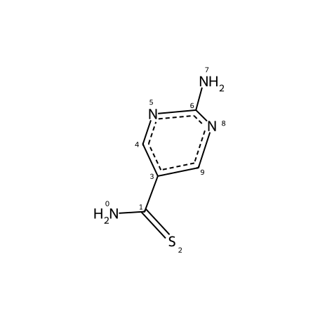 NC(=S)c1cnc(N)nc1